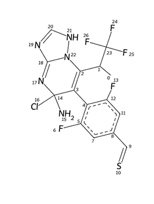 CC(C1=C(c2c(F)cc(C=S)cc2F)C(N)(Cl)N=C2N=CNN21)C(F)(F)F